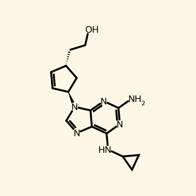 Nc1nc(NC2CC2)c2ncn([C@H]3C=C[C@H](CCO)C3)c2n1